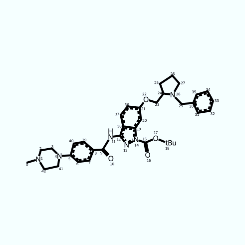 CN1CCN(c2ccc(C(=O)Nc3nn(C(=O)OC(C)(C)C)c4cc(OCC5CCCN5Cc5ccccc5)ccc34)cc2)CC1